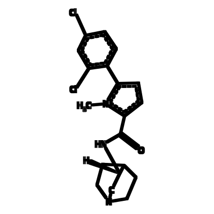 Cn1c(C(=O)N[C@H]2CN3CCC2CC3)ccc1-c1ccc(Cl)cc1Cl